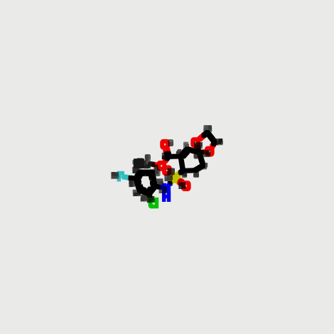 CC(C)(C)OC(=O)C1=CC2(CCC1S(=O)(=O)Nc1ccc(F)cc1Cl)OCCO2